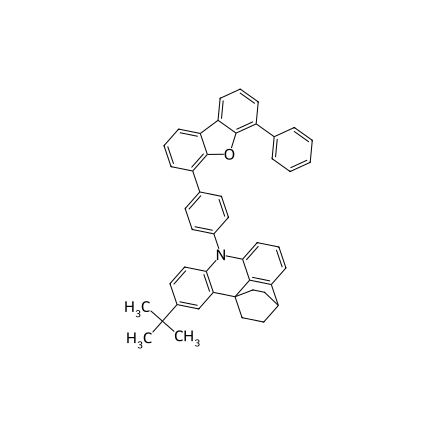 CC(C)(C)c1ccc2c(c1)C13CCC(CC1)c1cccc(c13)N2c1ccc(-c2cccc3c2oc2c(-c4ccccc4)cccc23)cc1